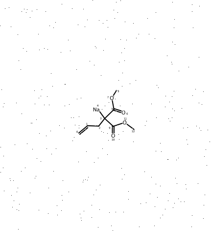 C=CC[C]([Na])(C(=O)OC)C(=O)OC